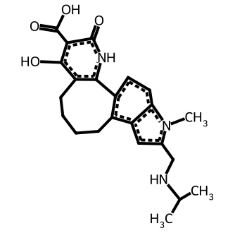 CC(C)NCc1cc2c3c(ccc2n1C)-c1[nH]c(=O)c(C(=O)O)c(O)c1CCCC3